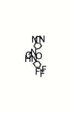 O=CN(C(=O)Nc1ccc(C(F)(F)F)cc1)c1ccc2nccnc2c1